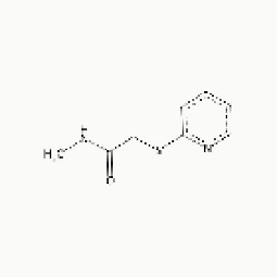 CNC(=O)CSc1ccccn1